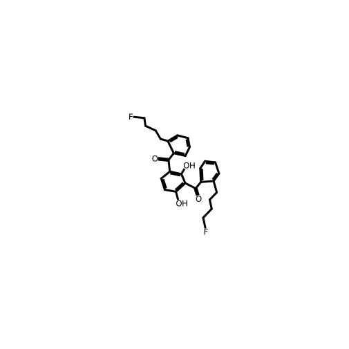 O=C(c1ccccc1CCCCF)c1ccc(O)c(C(=O)c2ccccc2CCCCF)c1O